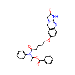 CC(OC(=O)c1ccccc1)N(C(=O)CCCCOc1ccc2c(c1)CN1CC(=O)NC1=N2)c1ccccc1